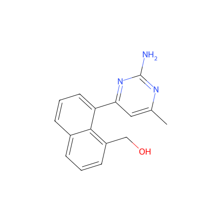 Cc1cc(-c2cccc3cccc(CO)c23)nc(N)n1